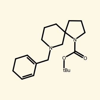 CC(C)(C)OC(=O)N1CCCC12CCCN(CC1=CCCC=C1)C2